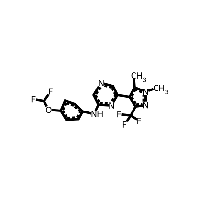 Cc1c(-c2cncc(Nc3ccc(OC(F)F)cc3)n2)c(C(F)(F)F)nn1C